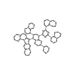 c1ccc(-c2ccc3c(-n4c5cc6ccccc6cc5c5c6ccccc6ccc54)c(-c4cccc5ccccc45)cc(-c4nc(-c5cccc6ccccc56)nc(-c5cccc6ccccc56)n4)c3c2)cc1